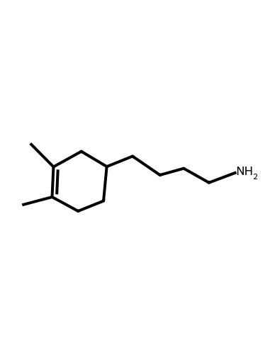 CC1=C(C)CC(CCCCN)CC1